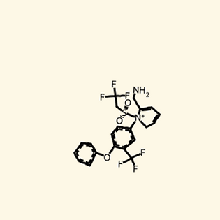 NCC1=CC=CC[N+]1(c1ccc(Oc2ccccc2)c(C(F)(F)F)c1)S(=O)(=O)CC(F)(F)F